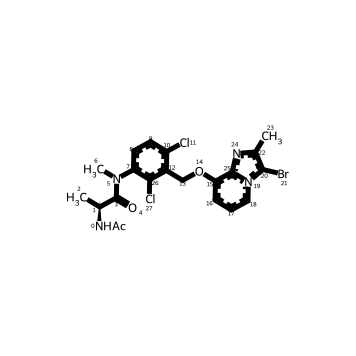 CC(=O)N[C@@H](C)C(=O)N(C)c1ccc(Cl)c(COc2cccn3c(Br)c(C)nc23)c1Cl